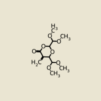 C=C1C(=O)OC(C(OC)OC)OC1C(OC)OC